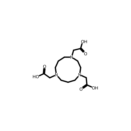 O=C(O)CN1CCCN(CC(=O)O)CCN(CC(=O)O)CCC1